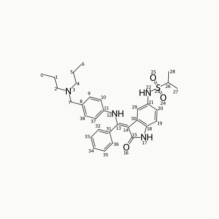 CCCN(CCC)Cc1ccc(NC(=C2C(=O)Nc3ccc(NS(=O)(=O)C(C)C)cc32)c2ccccc2)cc1